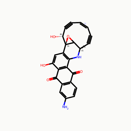 Nc1ccc2c(c1)C(=O)c1c(O)cc3c(c1C2=O)N[C@H]1C#C/C=C\C#C[C@@H](O)[C@@]32OC12